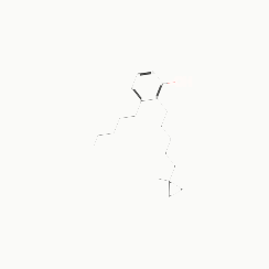 CC(C)(C)CCCCc1cccc(O)c1CCCCCC1(C)CC1